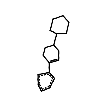 C1=C(c2ccccc2)CCC(C2CCCCC2)C1